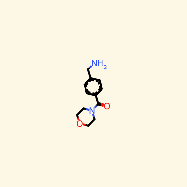 NCc1ccc(C(=O)N2CCOCC2)cc1